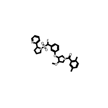 COC1CN(C(=O)c2cc(C)ccc2C)CC1Oc1cccc(C(F)S(=O)(=O)N2CCCC2c2ccccn2)c1